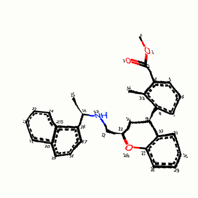 COC(=O)c1cccc([C@@H]2C[C@H](CN[C@H](C)c3cccc4ccccc34)Oc3ccccc32)c1C